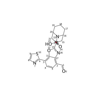 O=Cc1ccc(-c2nccs2)c2oc(N3CC4CCCC(C3)N4C(=O)O)nc12